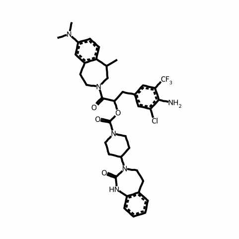 CC1CN(C(=O)C(Cc2cc(Cl)c(N)c(C(F)(F)F)c2)OC(=O)N2CCC(N3CCc4ccccc4NC3=O)CC2)CCc2cc(N(C)C)ccc21